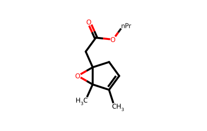 CCCOC(=O)CC12CC=C(C)C1(C)O2